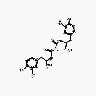 O=C(NC(Cc1ccc(O)c(O)c1)C(=O)O)OC(=O)NC(Cc1ccc(O)c(O)c1)C(=O)O